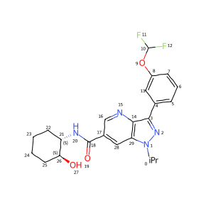 CC(C)n1nc(-c2cccc(OC(F)F)c2)c2ncc(C(=O)N[C@H]3CCCC[C@@H]3O)cc21